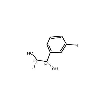 C[C@H](O)[C@@H](O)c1cccc(I)c1